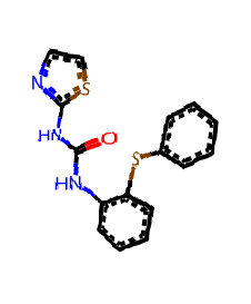 O=C(Nc1nccs1)Nc1ccccc1Sc1ccccc1